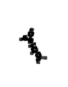 CCOCC1(C=O)CCN(c2ncc(C(=O)Nc3nc(-c4cc(Cl)cs4)c(N4CCN(C(C)C)CC4)s3)cc2Cl)CC1